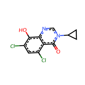 O=c1c2c(Cl)cc(Cl)c(O)c2ncn1C1CC1